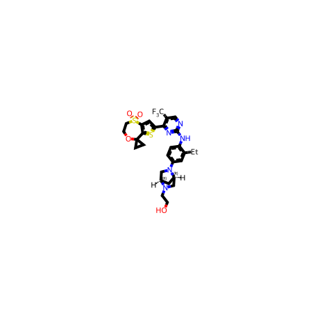 CCc1cc(N2C[C@H]3C[C@@H]2CN3CCO)ccc1Nc1ncc(C(F)(F)F)c(-c2cc3c(s2)C2(CC2)OCCS3(=O)=O)n1